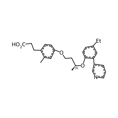 CCc1ccc(O[C@@H](C)CCOc2ccc(CCC(=O)O)c(C)c2)c(-c2cccnc2)c1